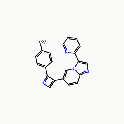 O=C(O)c1ccc(C2=NC=C2c2ccc3ncc(-c4ccccn4)n3c2)cc1